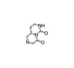 O=c1cncc2cc[nH]c(=O)n12